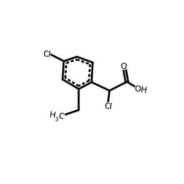 CCc1cc(Cl)ccc1C(Cl)C(=O)O